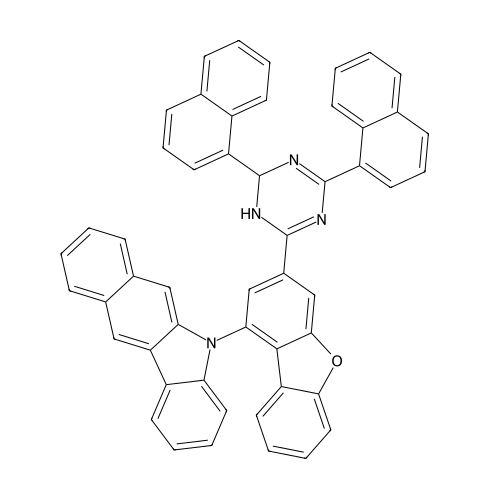 c1ccc2cc3c(cc2c1)c1ccccc1n3-c1cc(C2=NC(c3cccc4ccccc34)=NC(c3cccc4ccccc34)N2)cc2oc3ccccc3c12